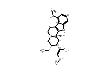 CC[C@@H]1CN2CCc3c([nH]c4cccc(OC)c34)[C@@H]2C[C@@H]1/C(C)=C/OC